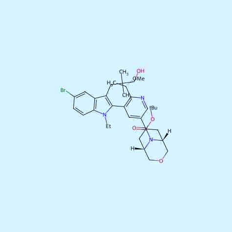 CCn1c(-c2cc(C3C[C@H]4COC[C@@H](C3)N4C(=O)OC(C)(C)C)cnc2[C@H](C)OC)c(CC(C)(C)CO)c2cc(Br)ccc21